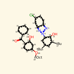 CC(C)(C)c1cc(-n2nc3ccc(Cl)cc3n2)c(O)c(C(C)(C)C)c1.CCCCCCCCOc1ccc(C(=O)c2ccccc2)c(O)c1